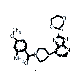 Nc1cc(OC(F)(F)F)ccc1C(=O)N1CCC(c2ccnc3[nH]c([C@H]4COCCO4)nc23)CC1